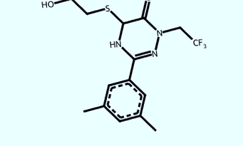 Cc1cc(C)cc(C2=NN(CC(F)(F)F)C(=O)C(SCCO)N2)c1